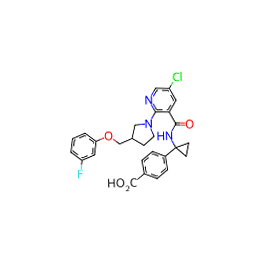 O=C(O)c1ccc(C2(NC(=O)c3cc(Cl)cnc3N3CCC(COc4cccc(F)c4)C3)CC2)cc1